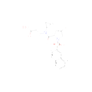 O=C(O)CCN(C(=O)C1CC(S)CN1S(=O)(=O)c1ccc2ccccc2c1)C1CC1